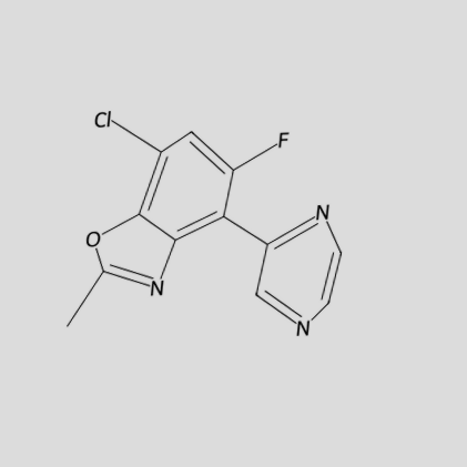 Cc1nc2c(-c3cnccn3)c(F)cc(Cl)c2o1